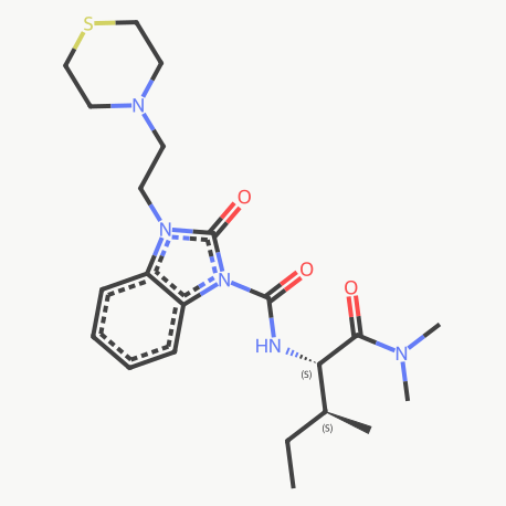 CC[C@H](C)[C@H](NC(=O)n1c(=O)n(CCN2CCSCC2)c2ccccc21)C(=O)N(C)C